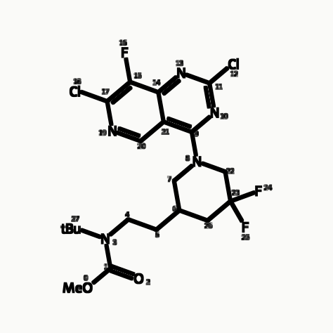 COC(=O)N(CCC1CN(c2nc(Cl)nc3c(F)c(Cl)ncc23)CC(F)(F)C1)C(C)(C)C